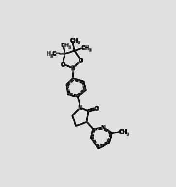 Cc1cccc(C2CCN(c3ccc(B4OC(C)(C)C(C)(C)O4)cc3)C2=O)n1